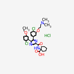 CCOc1ccc(Cl)c(-c2ncc(C(=O)NC3(C(=O)O)CCCCC3)nc2-c2ccc(Cl)c(OCCCN(C)C)c2)c1.Cl